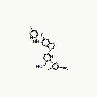 Cc1ccc(Nc2cc3c(cc2F)ncn3-c2ccc(CO)c(-n3nc(C#N)cc3C)n2)nn1